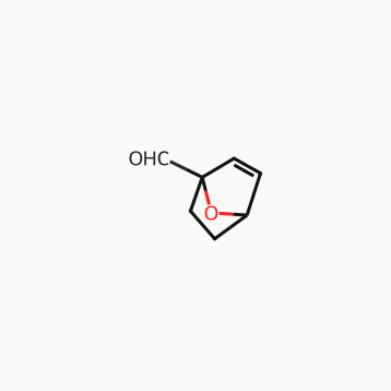 O=CC12C=CC(CC1)O2